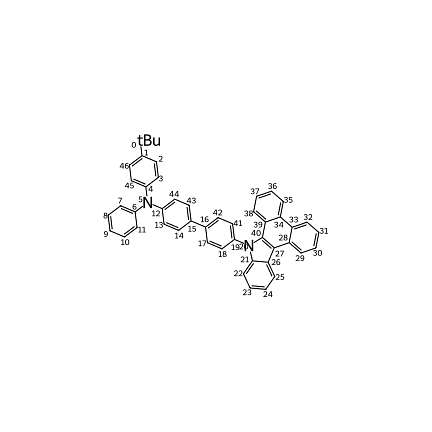 CC(C)(C)c1ccc(N(c2ccccc2)c2ccc(-c3ccc(-n4c5ccccc5c5c6ccccc6c6ccccc6c54)cc3)cc2)cc1